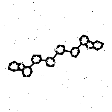 c1cc(-c2ccnc(-c3cc(-c4cccc(-c5cccc6c5oc5ccccc56)c4)ccn3)c2)cc(-c2cccc3c2oc2ccccc23)c1